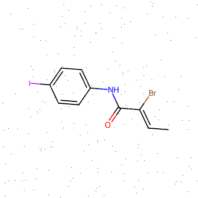 CC=C(Br)C(=O)Nc1ccc(I)cc1